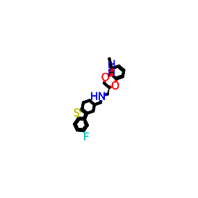 CC1=C2C=CC=C3O[C@@H](CNCC4CCc5sc6ccc(F)cc6c5C4)COC32NC=C1